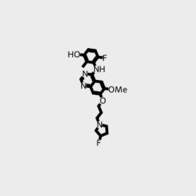 COc1cc2c(Nc3c(F)ccc(O)c3C)ncnc2cc1OCCCN1CCC(F)C1